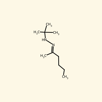 CCCC/C(C)=N/NC(C)(C)C